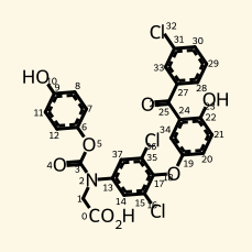 O=C(O)CN(C(=O)Oc1ccc(O)cc1)c1cc(Cl)c(Oc2ccc(O)c(C(=O)c3cccc(Cl)c3)c2)c(Cl)c1